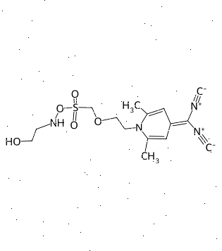 [C-]#[N+]C([N+]#[C-])=C1C=C(C)N(CCOCS(=O)(=O)ONCCO)C(C)=C1